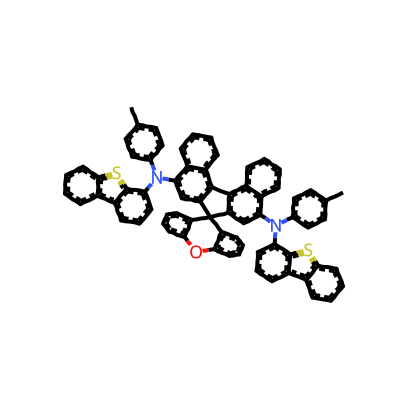 Cc1ccc(N(c2cc3c(c4ccccc24)-c2c(cc(N(c4ccc(C)cc4)c4cccc5c4sc4ccccc45)c4ccccc24)C32c3ccccc3Oc3ccccc32)c2cccc3c2sc2ccccc23)cc1